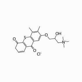 Cc1c(OCC(O)C[N+](C)(C)C)cc2c(=O)c3c(sc2c1C)C(=O)CC=C3.[Cl-]